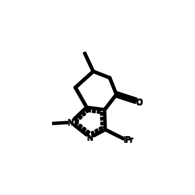 CC1CC(=O)c2c(C(C)C)nn(C)c2C1